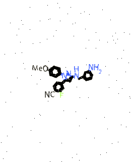 COc1ccc(-n2nc(NCc3cccc(N)c3)cc2-c2ccc(C#N)c(F)c2)cc1